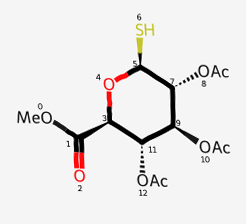 COC(=O)[C@H]1O[C@@H](S)[C@H](OC(C)=O)[C@@H](OC(C)=O)[C@@H]1OC(C)=O